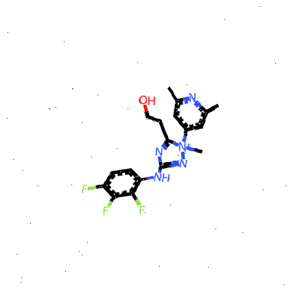 Cc1cc([N+]2(C)N=C(Nc3ccc(F)c(F)c3F)N=C2CCO)cc(C)n1